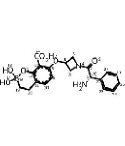 N[C@H](C(=O)N1CC(Oc2ccc3c(c2C(=O)O)O[B-](O)(O)CC3)C1)C1=C=C=CC=C1